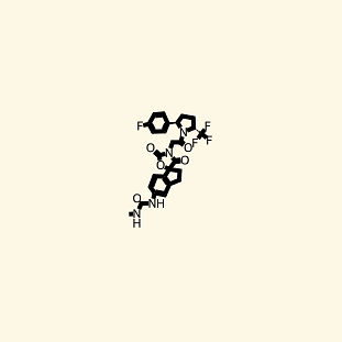 CNC(=O)Nc1ccc2c(c1)CCC21OC(=O)N(CC(=O)N2[C@@H](c3ccc(F)cc3)CC[C@@H]2C(F)(F)F)C1=O